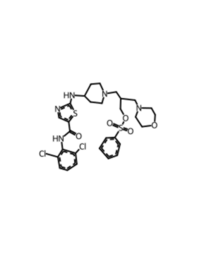 O=C(Nc1c(Cl)cccc1Cl)c1cnc(NC2CCN(CC(COS(=O)(=O)c3ccccc3)CN3CCOCC3)CC2)s1